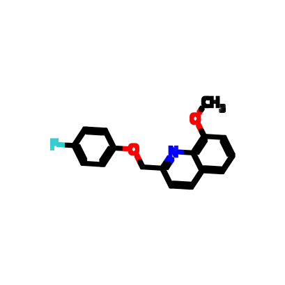 COc1cccc2ccc(COc3ccc(F)cc3)nc12